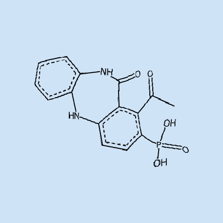 CC(=O)c1c(P(=O)(O)O)ccc2c1C(=O)Nc1ccccc1N2